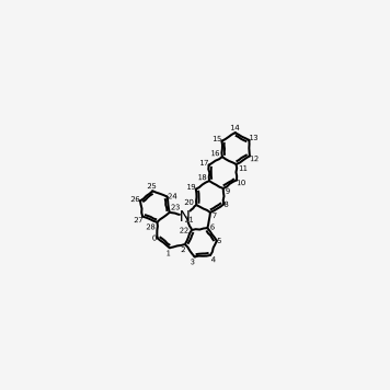 C1=Cc2cccc3c4cc5cc6ccccc6cc5cc4n(c23)-c2ccccc21